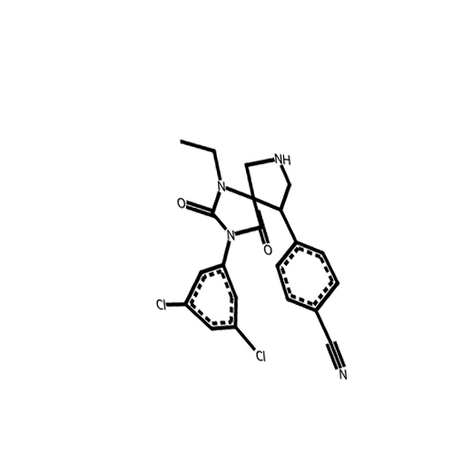 CCN1C(=O)N(c2cc(Cl)cc(Cl)c2)C(=O)C12CNCC2c1ccc(C#N)cc1